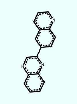 c1cnc2ccc(-c3cnc4ccccc4n3)cc2c1